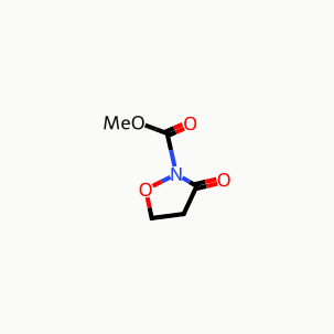 COC(=O)N1OCCC1=O